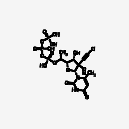 Cc1cc(=O)[nH]c(=O)n1[C@@H]1O[C@H]([C@H](C)OP(=O)(O)OP(=O)(O)OP(=O)(O)O)[C@H](O)C1(O)C#CCl